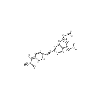 CC(C)OC(=O)c1ccc(C#Cc2ccc(C(C)C(=O)O)cc2)cc1CNCC1CC1